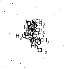 C=CCNC(=O)C(=O)C(CCC)NC(=O)[C@@H]1[C@H]2CCC(C)(C)[C@H]2CN1C(=O)[C@@H](NC(=O)NC1(CS(=O)(=O)C(C)(C)C)CCCCC1)C(C)(C)C